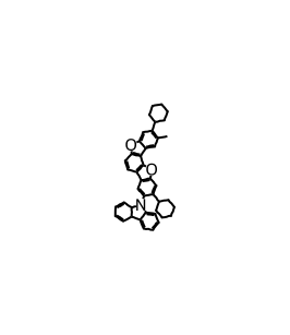 Cc1cc2c(cc1C1CCCCC1)oc1ccc3c4cc(N5c6ccccc6C6C=CC=CC65)c(C5CCCCC5)cc4oc3c12